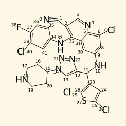 N#Cc1cnc2c(Cl)cc(NC(c3cn(C4CCNCC4)nn3)c3cc(Cl)sc3Cl)cc2c1Nc1ccc(F)c(Cl)c1